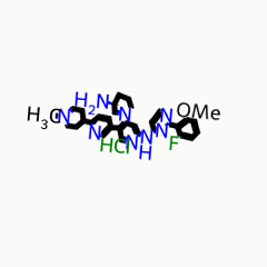 COc1cccc(F)c1-c1nccc(Nc2cc(N3CCC[C@H](N)C3)c(-c3ccc(C4CCN(C)CC4)nc3)cn2)n1.Cl